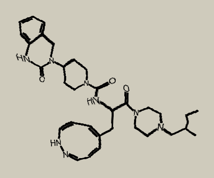 CCC(C)CN1CCN(C(=O)C(Cc2cccn[nH]ccc2)NC(=O)N2CCC(N3Cc4ccccc4NC3=O)CC2)CC1